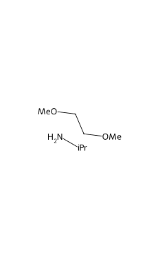 CC(C)N.COCCOC